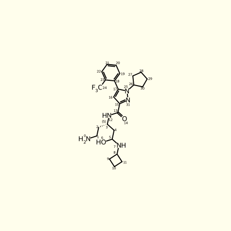 NCC[C@@H](CC(O)NC1CCC1)NC(=O)c1cc(-c2ccccc2C(F)(F)F)n(C2CCCC2)n1